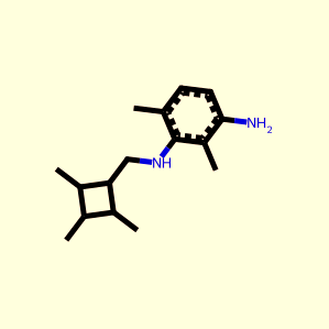 Cc1ccc(N)c(C)c1NCC1C(C)C(C)C1C